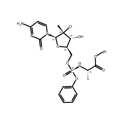 CC(C)OC(=O)[C@H](C)N[P@@](=O)(OC[C@H]1O[C@@H](n2ccc(N)nc2=O)[C@](C)(Cl)[C@@H]1O)Oc1ccccc1